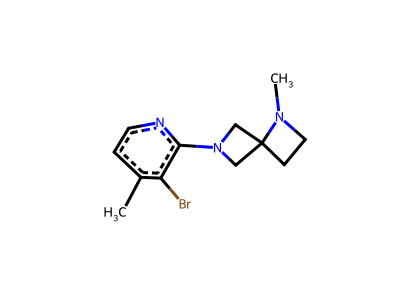 Cc1ccnc(N2CC3(CCN3C)C2)c1Br